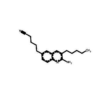 CCCCCc1cc2cc(CCCCC#N)ccc2nc1N